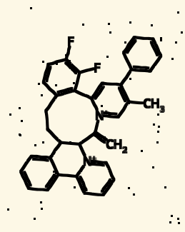 C=C1C2C(CCc3ccc(F)c(F)c3-c3cc(-c4ccccc4)c(C)c[n+]31)c1ccccc1-c1cccc[n+]12